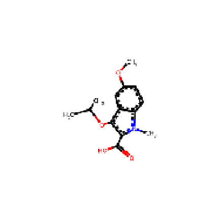 COc1ccc2c(c1)c(OC(C)C)c(C(=O)O)n2C